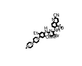 CCc1cc(Nc2ncc(Br)c(Nc3ccc4nc(C#N)ccc4c3P(C)(C)=O)n2)c(OC)cc1N1CCC(N2CCN(C)CC2)CC1